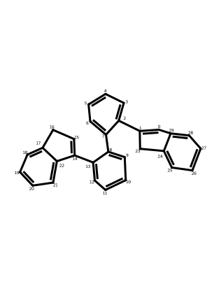 C1=C(c2ccccc2-c2ccccc2C2=CCc3ccccc32)Cc2ccccc21